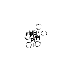 [Cl][Pd]([PH][PH](c1ccccc1)(c1ccccc1)c1ccccc1)[PH][PH](c1ccccc1)(c1ccccc1)c1ccccc1